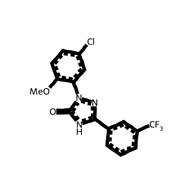 COc1ccc(Cl)cc1-n1nc(-c2cccc(C(F)(F)F)c2)[nH]c1=O